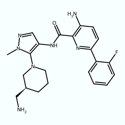 Cn1ncc(NC(=O)c2nc(-c3ccccc3F)ccc2N)c1N1CCC[C@@H](CN)C1